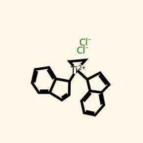 C1=C[CH]([Ti+2]2([CH]3C=Cc4ccccc43)[CH2][CH2]2)c2ccccc21.[Cl-].[Cl-]